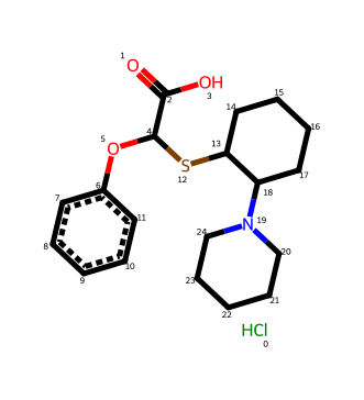 Cl.O=C(O)C(Oc1ccccc1)SC1CCCCC1N1CCCCC1